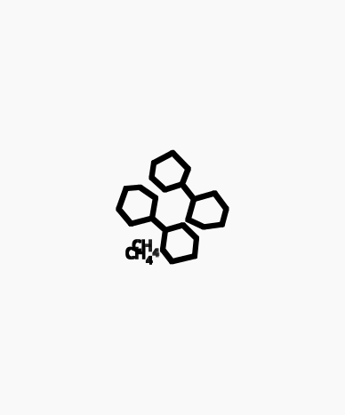 C.C.C1CCC(C2CCCCC2)CC1.C1CCC(C2CCCCC2)CC1